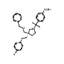 CSc1ccc(C(C)(C)N2CC[C@@](CCc3ccc(F)cc3)(COCc3ccccc3)C2)cc1